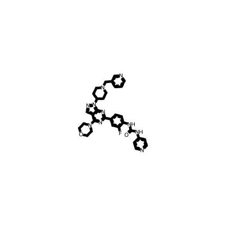 O=C(Nc1ccncc1)Nc1ccc(-c2nc(N3CCOCC3)c3cnn(C4CCN(Cc5cccnc5)CC4)c3n2)cc1F